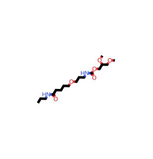 CCCNC(=O)CCCCOCCCNC(=O)OCC(COC)OC